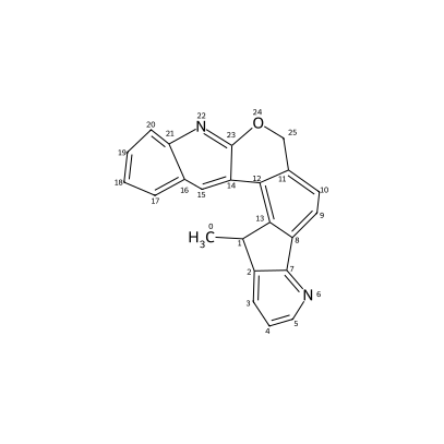 CC1c2cccnc2-c2ccc3c(c21)-c1cc2ccccc2nc1OC3